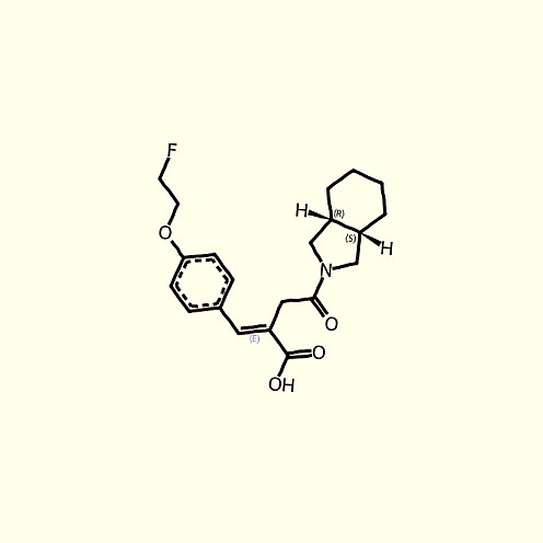 O=C(O)/C(=C/c1ccc(OCCF)cc1)CC(=O)N1C[C@H]2CCCC[C@H]2C1